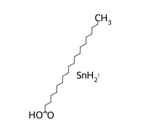 CCCCCCCCCCCCCCCCCCCC(=O)O.[SnH2]